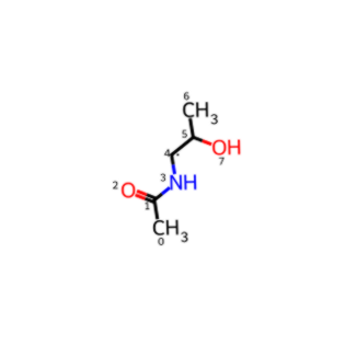 CC(=O)N[CH]C(C)O